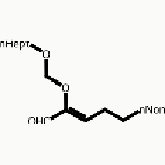 CCCCCCCCCCCC=C(C=O)OCOCCCCCCC